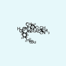 C=C(c1ccc(OCC(C)(C)C#N)cc1)N(C)C(NC(C)=O)c1cc(CCC(C)(C)C)ccc1Cl